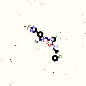 CC(=O)c1nn(CC(=O)N2C[C@H](F)C[C@H]2C(=O)NCC2C[C@@H]2c2ccccc2Cl)c2ccc(-c3cnc(C)nc3)cc12